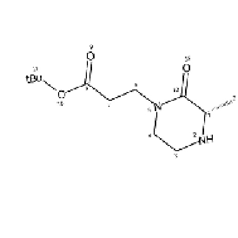 C[C@@H]1NCCN(CCC(=O)OC(C)(C)C)C1=O